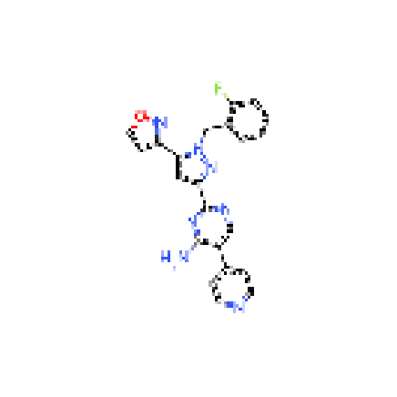 Nc1nc(-c2cc(-c3ccon3)n(Cc3ccccc3F)n2)ncc1-c1ccncc1